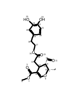 COC(=O)C1=CO[C@@H](C)[C@@H](C=O)C1CC(=O)OCCc1ccc(O)c(O)c1